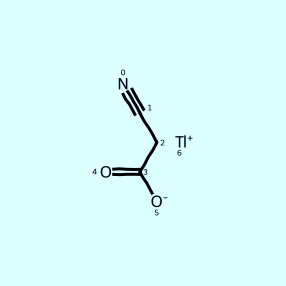 N#CCC(=O)[O-].[Tl+]